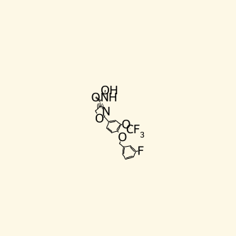 O=C(NO)[C@H]1COC(c2ccc(OCc3cccc(F)c3)c(OC(F)(F)F)c2)=N1